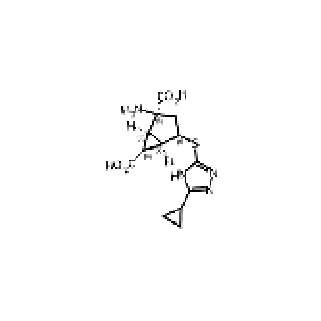 N[C@@]1(C(=O)O)C[C@@H](Sc2nnc(C3CC3)[nH]2)[C@H]2[C@H](C(=O)O)[C@H]21